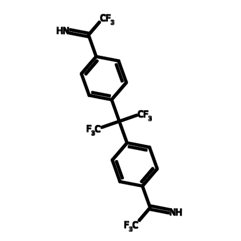 N=C(c1ccc(C(c2ccc(C(=N)C(F)(F)F)cc2)(C(F)(F)F)C(F)(F)F)cc1)C(F)(F)F